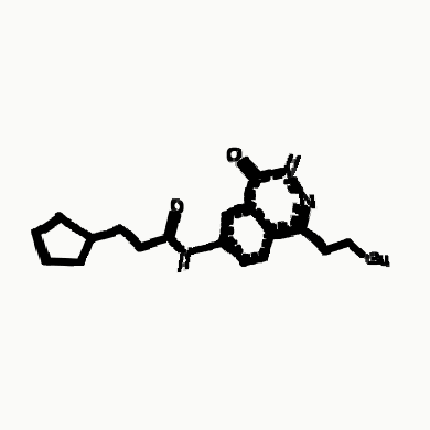 CC(C)(C)CCc1n[nH]c(=O)c2cc(NC(=O)CCC3CCCC3)ccc12